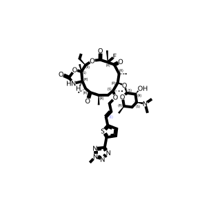 CC[C@H]1OC(=O)[C@](C)(F)C(=O)[C@H](C)[C@@H](O[C@@H]2O[C@H](C)C[C@H](N(C)C)[C@H]2O)[C@@](C)(OC/C=C/c2ccc(-c3nnn(C)n3)s2)C[C@@H](C)C(=O)[C@H](C)[C@H]2NC(=O)O[C@@]21C